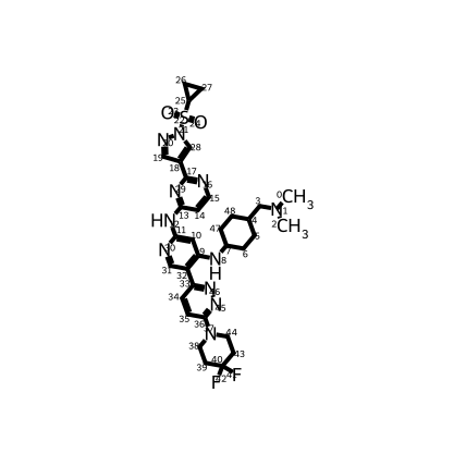 CN(C)CC1CCC(Nc2cc(Nc3ccnc(-c4cnn(S(=O)(=O)C5CC5)c4)n3)ncc2-c2ccc(N3CCC(F)(F)CC3)nn2)CC1